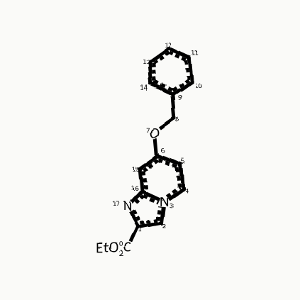 CCOC(=O)c1cn2ccc(OCc3ccccc3)cc2n1